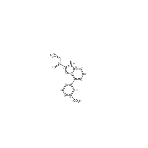 C=CC(=O)c1cc2c(-c3cccc(C(=O)O)c3)cccc2[nH]1